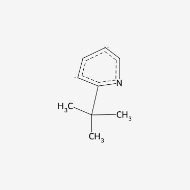 CC(C)(C)c1[c]c[c]cn1